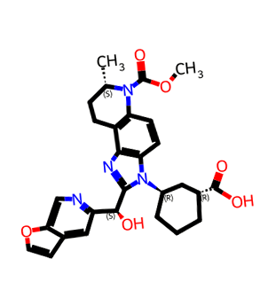 COC(=O)N1c2ccc3c(nc([C@@H](O)c4cc5ccoc5cn4)n3[C@@H]3CCC[C@@H](C(=O)O)C3)c2CC[C@@H]1C